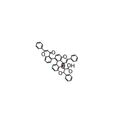 O=C(O)C1C(=O)c2c(cccc2-c2c(-c3cccc4oc(-c5ccccc5)cc(=O)c34)ccc3oc(-c4ccccc4)cc(=O)c23)OC1c1ccccc1